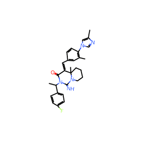 Cc1cn(-c2ccc(/C=C3/C(=O)N(C(C)c4ccc(F)cc4)C(=N)N4CCCCC34C)cc2C)cn1